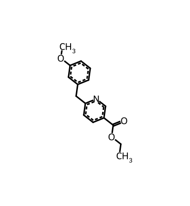 CCOC(=O)c1ccc(Cc2cccc(OC)c2)nc1